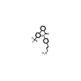 NCC=Cc1ccc(NC(=O)c2ccccc2-c2ccc(C(F)(F)F)cc2)cc1